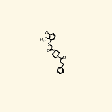 Cc1c(Cl)cccc1SCC(=O)N1CCN(C(=O)CCc2ccccc2)CC1